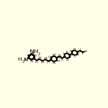 CC=CC1CCC(C2CCC(/C=C/C3CCC(CCCCCc4cc(N)cc(N)c4)CC3)CC2)CC1